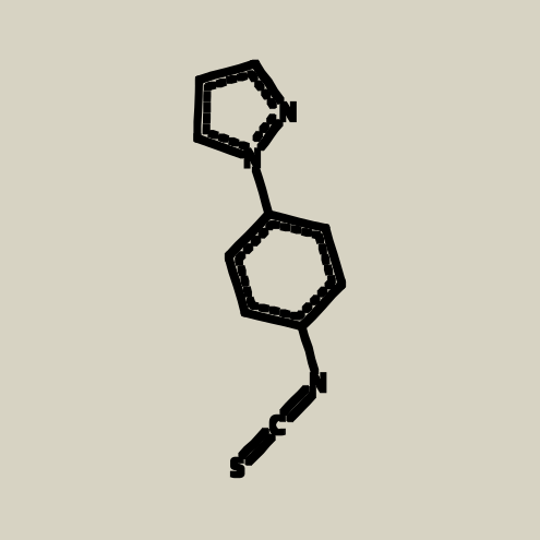 S=C=Nc1ccc(-n2cccn2)cc1